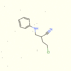 N#CC(CCCl)CNc1ccccc1